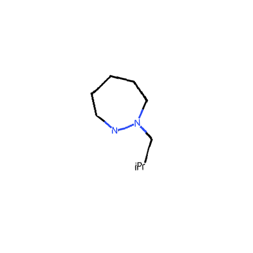 CC(C)CN1CCCCC[N]1